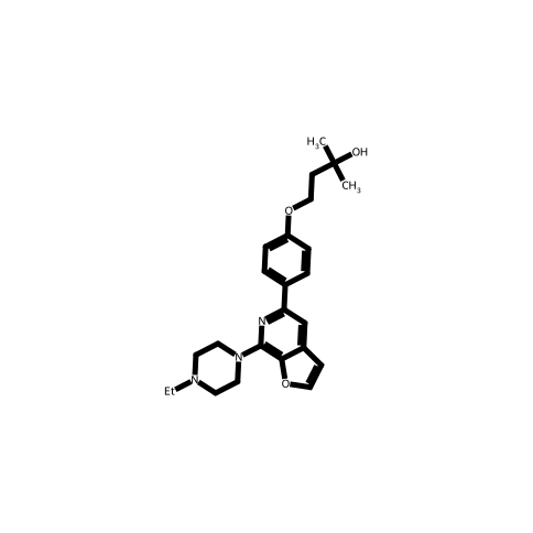 CCN1CCN(c2nc(-c3ccc(OCCC(C)(C)O)cc3)cc3ccoc23)CC1